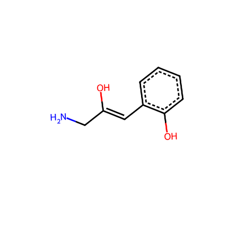 NCC(O)=Cc1ccccc1O